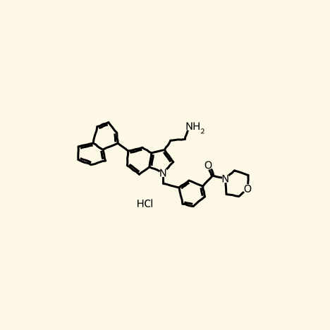 Cl.NCCc1cn(Cc2cccc(C(=O)N3CCOCC3)c2)c2ccc(-c3cccc4ccccc34)cc12